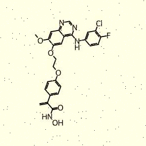 C=C(C(=O)NO)c1ccc(OCCOc2cc3c(Nc4ccc(F)c(Cl)c4)ncnc3cc2OC)cc1